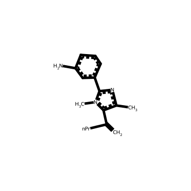 C=C(CCC)c1c(C)nc(-c2cccc(N)c2)n1C